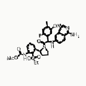 CCS(=O)(=O)c1c(NC(=O)OC)cccc1C1CCCN1C(=O)C(Nc1ccc2c(N)nccc2c1)c1cc(OC)c(C)cc1F